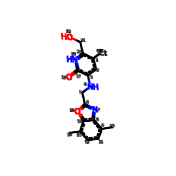 CCc1cc(NCc2nc3c(C)ccc(C)c3o2)c(=O)[nH]c1CO